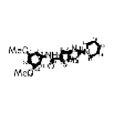 COc1cc(NC(=O)c2cc3nc(N4CCCCC4)sc3s2)cc(OC)c1